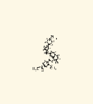 C=CC(=O)N1CCN(CCn2c(=O)ccc3cnc(Nc4cnn(C5CCN(C)CC5)c4)nc32)[C@@H](CC)C1